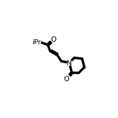 CC(C)C(=O)/C=C/CN1CCCCC1=O